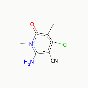 Cc1c(Cl)c(C#N)c(N)n(C)c1=O